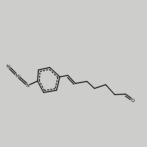 [N-]=[N+]=Nc1ccc(C=CCCCCC=O)cc1